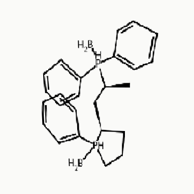 B[PH]1(c2ccccc2)CCC[C@@H]1C[C@H](C)[PH](B)(c1ccccc1)c1ccccc1